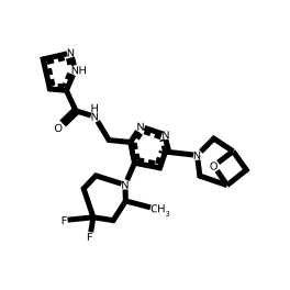 CC1CC(F)(F)CCN1c1cc(N2CC3CC(C2)O3)nnc1CNC(=O)c1ccn[nH]1